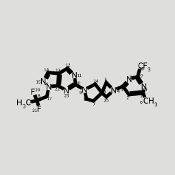 Cc1cc(N2CC3(CCN(c4ncc5cnn(CC(C)(F)F)c5n4)C3)C2)nc(C(F)(F)F)n1